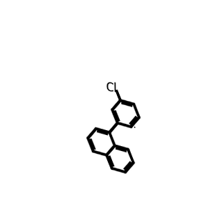 Clc1cc[c]c(-c2cccc3ccccc23)c1